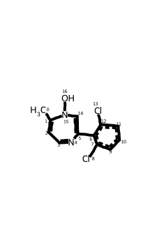 CC1=CC=NC(c2c(Cl)cccc2Cl)=CN1O